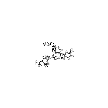 COc1ccc(-n2c(SCc3ccc(C(F)(F)F)nc3)nc3ccc(Cl)cc32)cn1